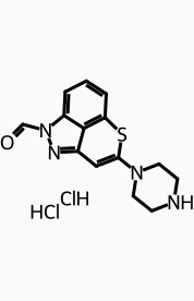 Cl.Cl.O=Cn1nc2c3c(cccc31)SC(N1CCNCC1)=C2